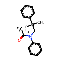 C[Si](C)(CN(C(=O)C(F)(F)F)c1ccccc1)c1ccccc1